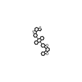 c1ccc2c(c1)oc1ccc3oc4cc(-c5c6ccccc6c(-c6ccc7sc8ccc9sccc9c8c7c6)c6ccccc56)ccc4c3c12